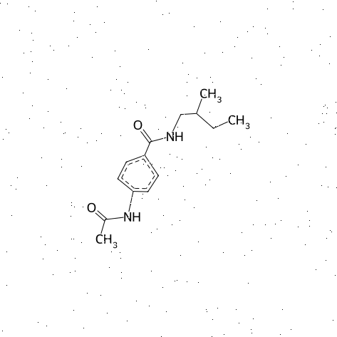 CCC(C)CNC(=O)c1ccc(NC(C)=O)cc1